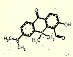 CN(C)c1ccc2c(c1)S(C)(C)c1c(ccc(O)c1C=O)C2=O